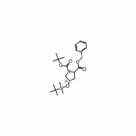 CC(C)(C)OC(=O)N1C[C@H](O[Si](C)(C)C(C)(C)C)CC1C(=O)OCc1ccccc1